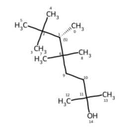 C[C@@H](C(C)(C)C)C(C)(C)CCC(C)(C)O